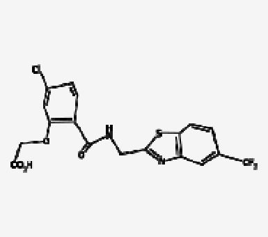 O=C(O)COc1cc(Cl)ccc1C(=O)NCc1nc2cc(C(F)(F)F)ccc2s1